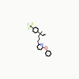 C=CC(C)(CCCc1cccc(Oc2ccccc2)n1)c1ccc(C(F)(F)F)cc1